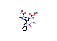 Cc1nc2c(-c3cc4ccccc4n3C(=O)OC(C)(C)C)cc(NC(=O)OC(C)(C)C)nc2n1C(=O)OC(C)(C)C